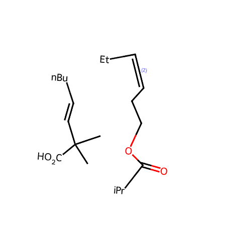 CC/C=C\CCOC(=O)C(C)C.CCCCC=CC(C)(C)C(=O)O